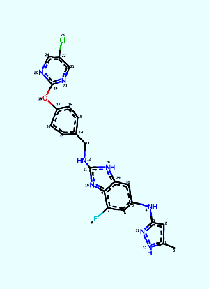 Cc1cc(Nc2cc(F)c3nc(NCc4ccc(Oc5ncc(Cl)cn5)cc4)[nH]c3c2)n[nH]1